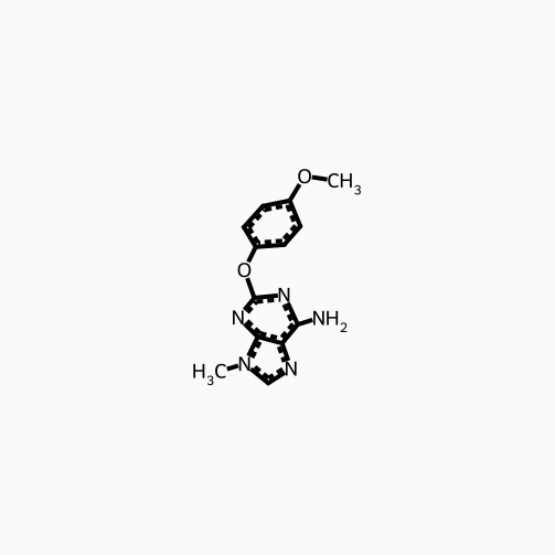 COc1ccc(Oc2nc(N)c3ncn(C)c3n2)cc1